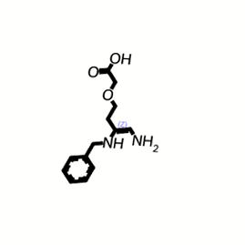 N/C=C(/CCOCC(=O)O)NCc1ccccc1